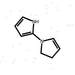 C1=CN(c2ccc[nH]2)CC1